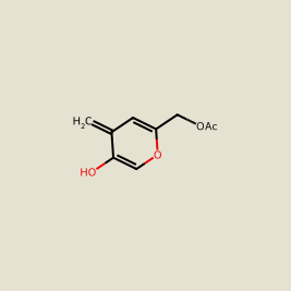 C=C1C=C(COC(C)=O)OC=C1O